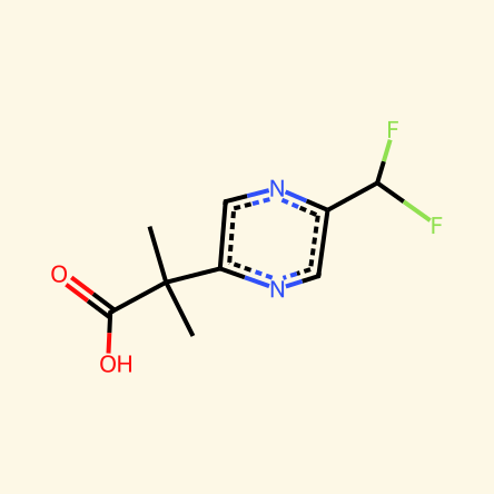 CC(C)(C(=O)O)c1cnc(C(F)F)cn1